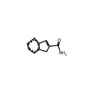 NC(=O)C1=Cc2ccccc2C1